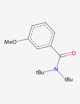 COc1cccc(C(=O)N(C(C)(C)C)C(C)(C)C)c1